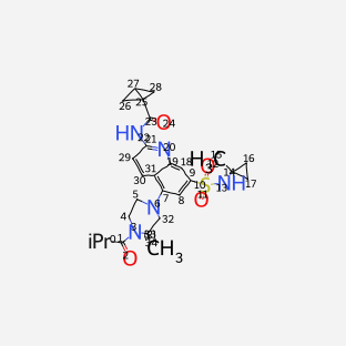 CC(C)C(=O)N1CCN(c2cc(S(=O)(=O)NC3(C)CC3)cc3nc(NC(=O)C45CC4C5)ccc23)C[C@H]1C